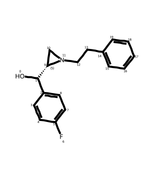 OC(c1ccc(F)cc1)[C@@H]1CN1CCc1ccccc1